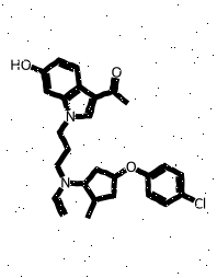 C=CN(CCCn1cc(C(C)=O)c2ccc(O)cc21)C1CC(Oc2ccc(Cl)cc2)CC1C